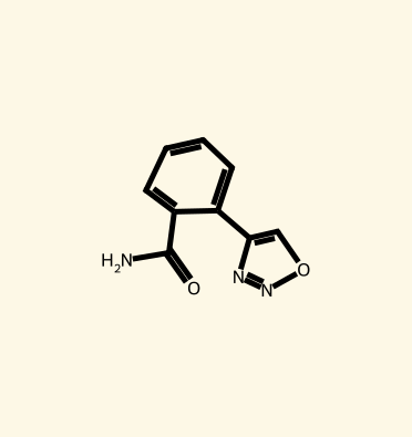 NC(=O)c1ccccc1-c1conn1